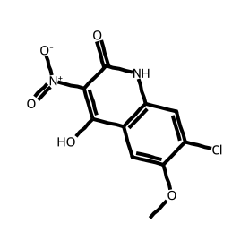 COc1cc2c(O)c([N+](=O)[O-])c(=O)[nH]c2cc1Cl